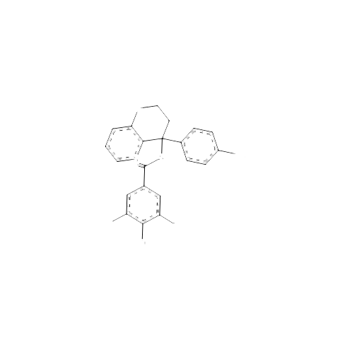 O=C(NC1(c2ccc(C(F)(F)F)cc2)CCOc2cccnc21)c1cc(F)c(O)c(F)c1